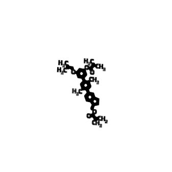 C=C(C)COc1cc(OC(=O)C(=C)C)cc(-c2cc(C)c(-c3ccc4c(c3)CCC4COC(=O)C(=C)C)cc2C)c1